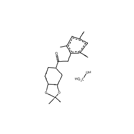 Cc1cc(C)c(CC(=O)C2CCC3OC(C)(C)OC3C2)c(C)c1.O=C(O)O